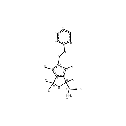 Cc1c2c(c(C)n1CCc1ccccc1)C(C)(C(N)=O)CC2(C)C